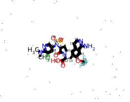 CN(C)c1ncc(N([C@H]2CCN([C@H](Cc3cc4ccnc(N)c4cc3OC(F)(F)F)C(=O)O)C2=O)[SH](=O)=O)cc1Cl